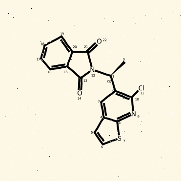 C[C@@H](c1cc2ccsc2nc1Cl)N1C(=O)c2ccccc2C1=O